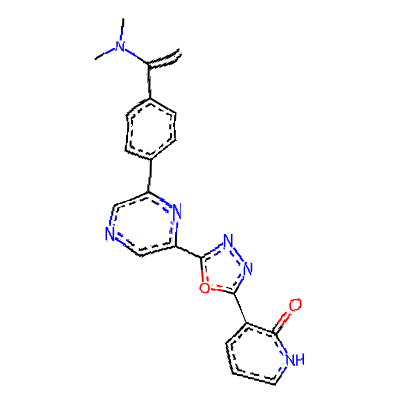 C=C(c1ccc(-c2cncc(-c3nnc(-c4ccc[nH]c4=O)o3)n2)cc1)N(C)C